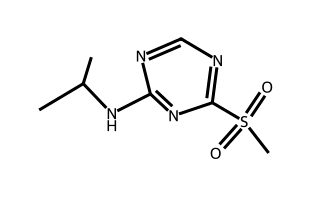 CC(C)Nc1ncnc(S(C)(=O)=O)n1